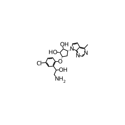 Cc1ncnc2c1ccn2[C@@H]1C[C@H](Oc2ccc(Cl)cc2C(O)CN)[C@@H](O)[C@H]1O